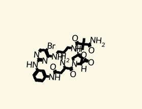 CC(C)(C(N)=O)C(=O)NCCCNc1nc(Nc2cccc(NC(=O)CC(N)C(=O)N3C[C@H]4C[C@@H]3C(=O)O4)c2)ncc1Br